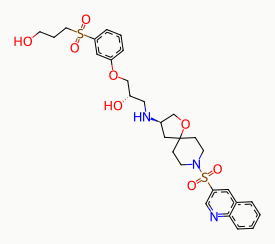 O=S(=O)(CCCO)c1cccc(OC[C@@H](O)CN[C@H]2COC3(CCN(S(=O)(=O)c4cnc5ccccc5c4)CC3)C2)c1